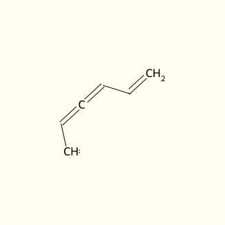 [CH]C=C=CC=C